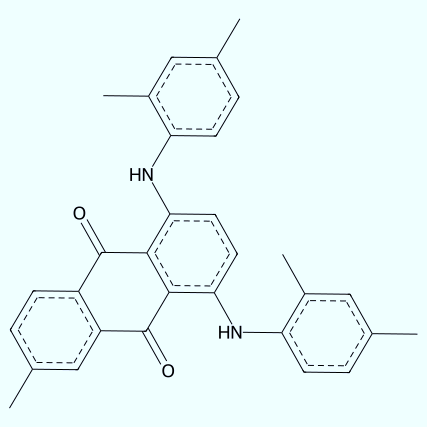 Cc1ccc(Nc2ccc(Nc3ccc(C)cc3C)c3c2C(=O)c2ccc(C)cc2C3=O)c(C)c1